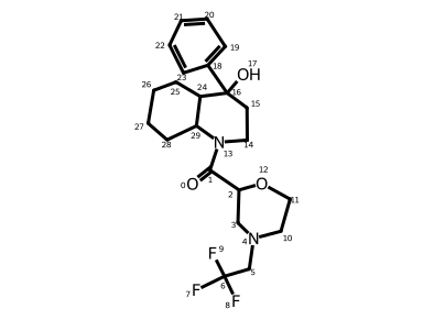 O=C(C1CN(CC(F)(F)F)CCO1)N1CCC(O)(c2ccccc2)C2CCCCC21